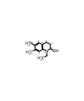 CCN1c2cc(C)c(N)cc2CCC1O